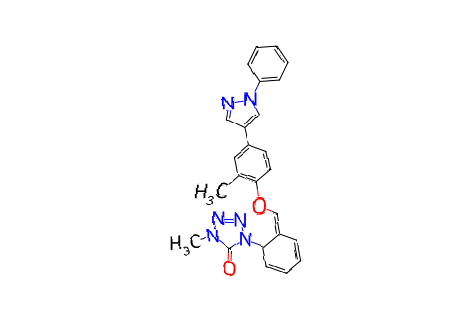 Cc1cc(-c2cnn(-c3ccccc3)c2)ccc1O/C=C1/C=CC=CC1n1nnn(C)c1=O